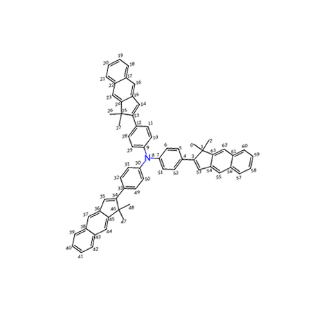 CC1(C)C(c2ccc(N(c3ccc(C4=Cc5cc6ccccc6cc5C4(C)C)cc3)c3ccc(C4=Cc5cc6ccccc6cc5C4(C)C)cc3)cc2)=Cc2cc3ccccc3cc21